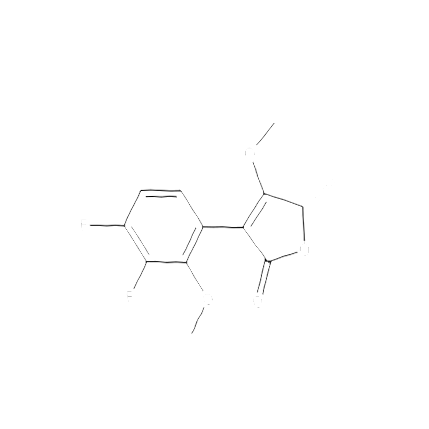 COC1=C(c2ccc(F)c(F)c2OC)C(=O)O[C@H]1C